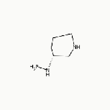 PN[C@@H]1CCCNC1